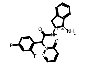 N[C@H]1c2ccccc2C[C@@H]1NC(=O)C(c1ccc(F)cc1F)n1ncccc1=O